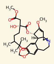 COC(=O)C[C@](O)(CCC(C)C(C)(C)O)C(=O)O[C@@H]1C(OC)=C[C@]23CCCN2CCc2cc4c(cc2[C@H]13)OCO4